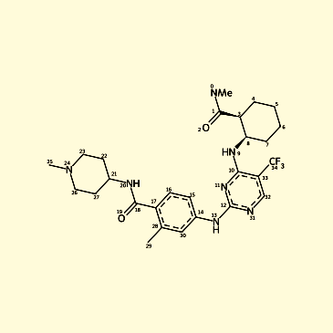 CNC(=O)[C@H]1CCCC[C@H]1Nc1nc(Nc2ccc(C(=O)NC3CCN(C)CC3)c(C)c2)ncc1C(F)(F)F